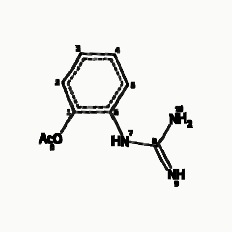 CC(=O)Oc1ccccc1NC(=N)N